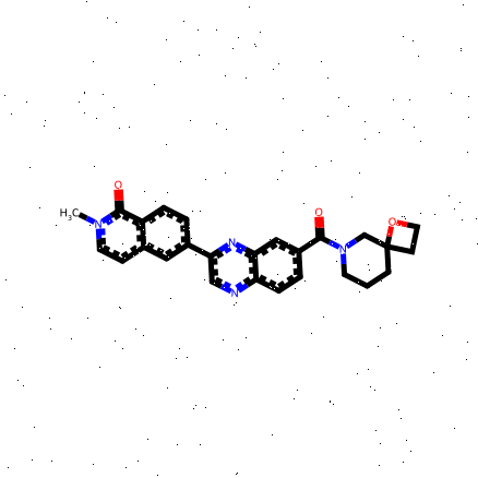 Cn1ccc2cc(-c3cnc4ccc(C(=O)N5CCCC6(CCO6)C5)cc4n3)ccc2c1=O